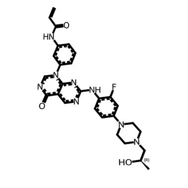 C=CC(=O)Nc1cccc(-n2cnc(=O)c3cnc(Nc4ccc(N5CCN(C[C@@H](C)O)CC5)cc4F)nc32)c1